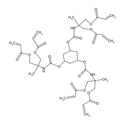 C=CC(=O)OCC(C)(COC(=O)C=C)NC(=O)OC1CC(OC(=O)NC(C)(COC(=O)C=C)COC(=O)C=C)CC(OC(=O)NC(C)(COC(=O)C=C)COC(=O)C=C)C1